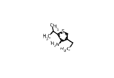 CCc1csc(C(C)C)c1N